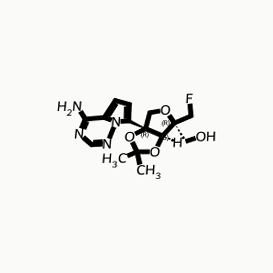 CC1(C)O[C@@H]2[C@](CO)(CF)OC[C@@]2(c2ccc3c(N)ncnn23)O1